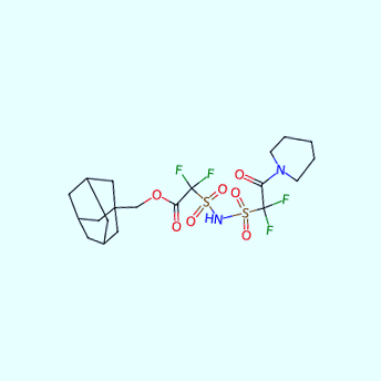 O=C(OCC12CC3CC(CC(C3)C1)C2)C(F)(F)S(=O)(=O)NS(=O)(=O)C(F)(F)C(=O)N1CCCCC1